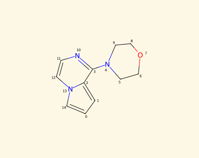 c1cc2c(N3CCOCC3)nccn2c1